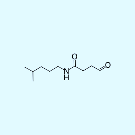 CC(C)CCCNC(=O)CCC=O